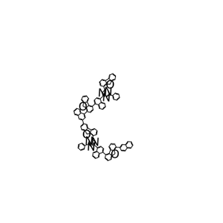 c1ccc(-c2nc(-c3ccc(-c4cccc5oc6c(-c7ccc8ccccc8c7)cccc6c45)c4ccccc34)nc(-c3cccc4c3oc3ccc(-c5cc(-c6ccc(-c7ccc(-c8nc(-c9ccccc9)nc(-c9cccc%10c9oc9ccccc9%10)n8)c8ccccc78)c7c6oc6ccccc67)c6ccccc6c5)cc34)n2)cc1